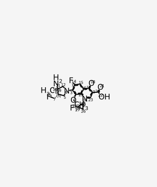 COc1c(N2C[C@H](CF)[C@@](C)(N)C2)c(F)cc2c(=O)c(C(=O)O)cn([C@@H]3C[C@@H]3F)c12